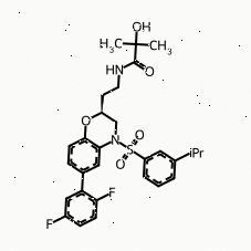 CC(C)c1cccc(S(=O)(=O)N2C[C@H](CCNC(=O)C(C)(C)O)Oc3ccc(-c4cc(F)ccc4F)cc32)c1